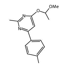 COC(C)Oc1cc(-c2ccc(C)cc2)nc(C)n1